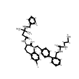 CC(C)(CC(=O)N[C@@H]1CCc2cc(F)ccc2N(Cc2ccc(-c3ccccc3CNC(=O)NCCO)cc2)C1=O)NCc1ccco1